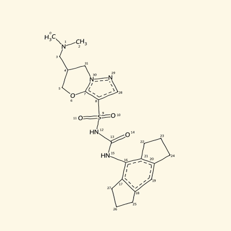 CN(C)CC1COc2c(S(=O)(=O)NC(=O)Nc3c4c(cc5c3CCC5)CCC4)cnn2C1